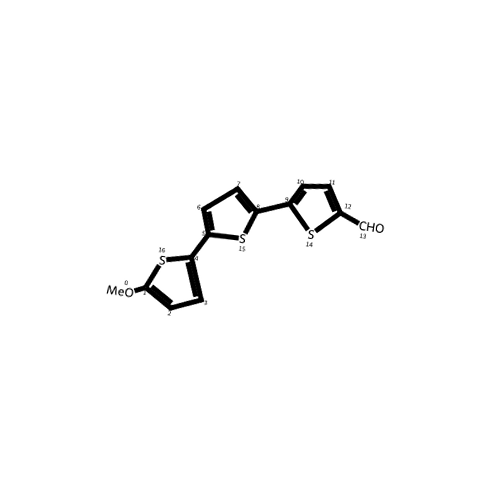 COc1ccc(-c2ccc(-c3ccc(C=O)s3)s2)s1